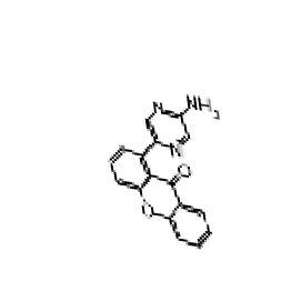 Nc1cnc(-c2cccc3oc4ccccc4c(=O)c23)cn1